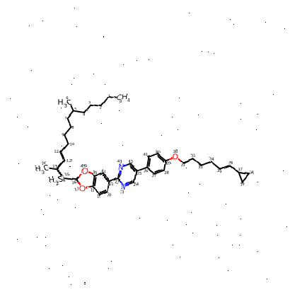 CCCCCC(C)CCCCCCC(C)[SiH2]C1Oc2ccc(-c3ncc(-c4ccc(OCCCCCCC5CC5)cc4)cn3)cc2O1